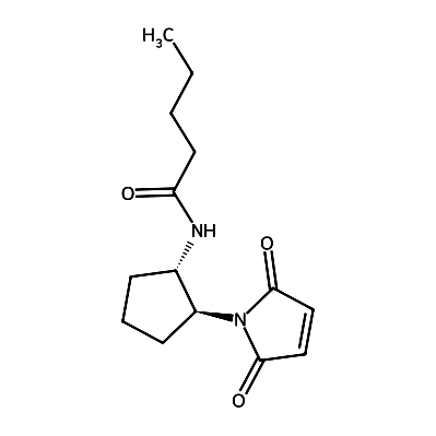 CCCCC(=O)N[C@H]1CCC[C@@H]1N1C(=O)C=CC1=O